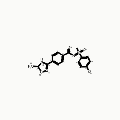 CS(=O)(=NC(=O)c1ccc(C2=NOC(C(F)(F)F)N2)cc1)c1ccc(Cl)cc1